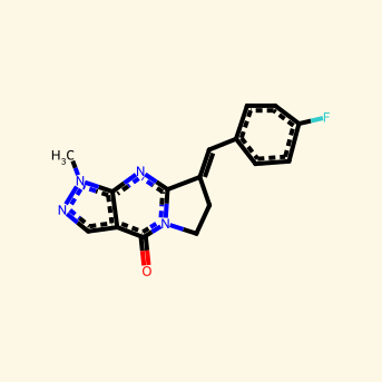 Cn1ncc2c(=O)n3c(nc21)/C(=C/c1ccc(F)cc1)CC3